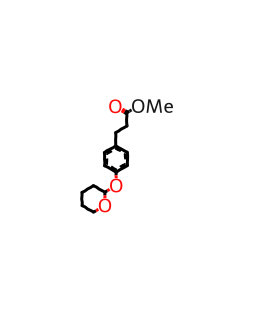 COC(=O)CCc1ccc(OC2CCCCO2)cc1